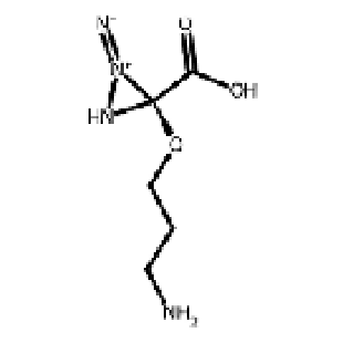 [N-]=[N+]1N[C@@]1(OCCCN)C(=O)O